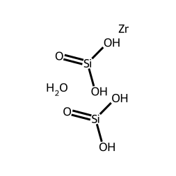 O.O=[Si](O)O.O=[Si](O)O.[Zr]